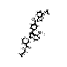 Nc1nccn2c(N3CCCC(C(=O)NCC4CC4)C3)nc(-c3ccc(C(=O)Nc4cc(C5CC5)ccn4)cc3)c12